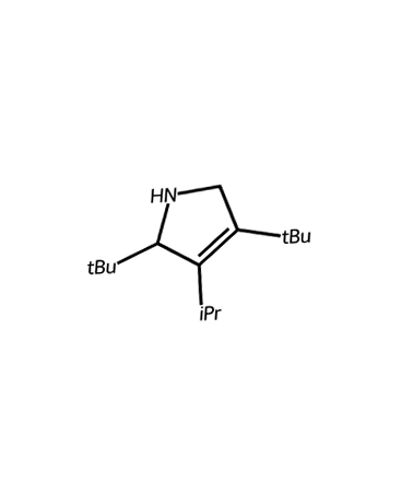 CC(C)C1=C(C(C)(C)C)CNC1C(C)(C)C